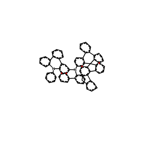 c1ccc(-c2ccccc2N(c2ccc3c(c2)-c2ccccc2-c2ccccc2N3c2ccccc2)c2ccc3c(c2)C2(c4ccccc4-c4ccccc4-3)c3ccccc3-c3c2ccc2c3-c3ccccc3C2)cc1